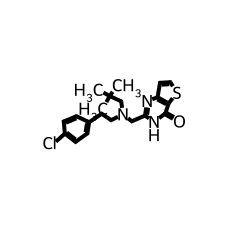 CC(C)(C)CN(CCc1ccc(Cl)cc1)Cc1nc2ccsc2c(=O)[nH]1